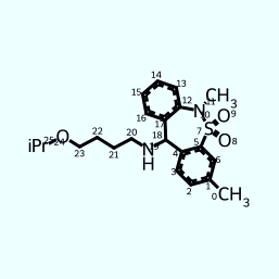 Cc1ccc2c(c1)S(=O)(=O)N(C)c1ccccc1C2NCCCCOC(C)C